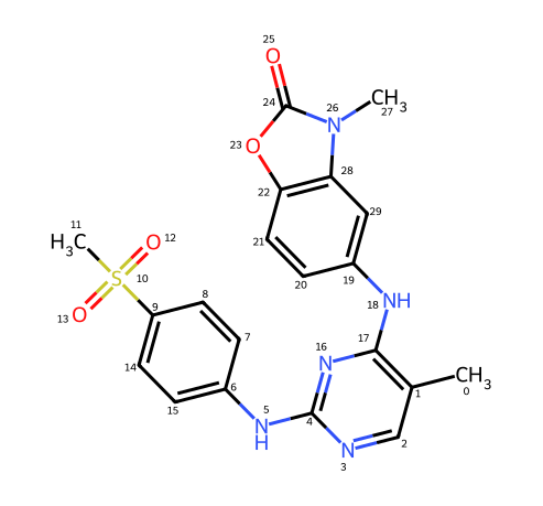 Cc1cnc(Nc2ccc(S(C)(=O)=O)cc2)nc1Nc1ccc2oc(=O)n(C)c2c1